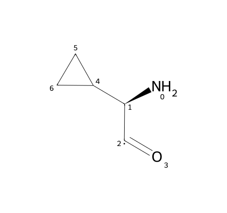 N[C@@H]([C]=O)C1CC1